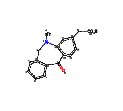 CCCN1Cc2ccccc2C(=O)c2ccc(CC(=O)O)cc21